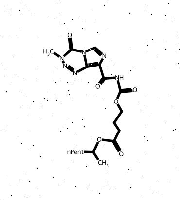 CCCCCC(C)OC(=O)CCCOC(=O)NC(=O)c1ncn2c(=O)n(C)nnc12